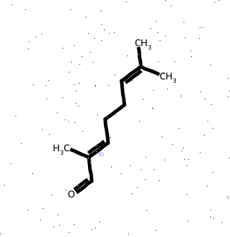 CC(C)=CCC/C=C(\C)C=O